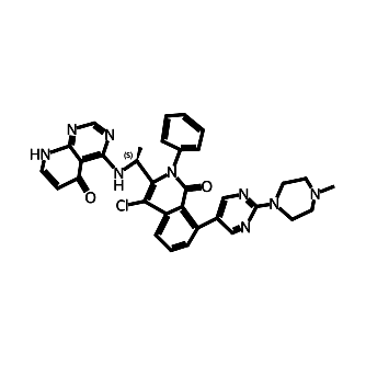 C[C@H](Nc1ncnc2[nH]ccc(=O)c12)c1c(Cl)c2cccc(-c3cnc(N4CCN(C)CC4)nc3)c2c(=O)n1-c1ccccc1